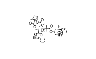 CCC(C)(CC(C)(CC(C)(C)C(=O)OC(CC(C)C)CC(O)(F)C(F)(F)F)C(=O)OC1C2CC3C(=O)OC1C3C2)C(=O)OC1(C(C)(C)C)CCCC1